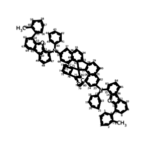 Cc1ccccc1-c1cccc2c1oc1c(N(c3ccccc3)c3ccc4c5c(ccc4c3)-c3ccc4cc(N(c6ccccc6)c6cccc7c6oc6c(-c8ccccc8C)cccc67)ccc4c3C53c4ccccc4-c4ccccc43)cccc12